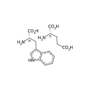 N[C@@H](CCC(=O)O)C(=O)O.N[C@@H](Cc1c[nH]c2ccccc12)C(=O)O